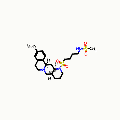 COc1ccc2c(c1)CCN1C[C@@H]3CCCN(S(=O)(=O)CCCCNS(C)(=O)=O)[C@@H]3C[C@@H]21